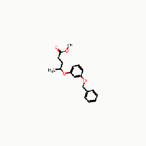 CC(CCC(=O)OC#N)Oc1cccc(OCc2ccccc2)c1